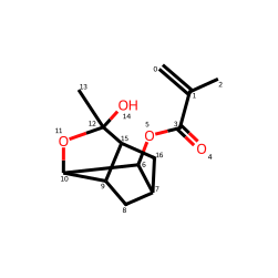 C=C(C)C(=O)OC1C2CC3C1OC(C)(O)C3C2